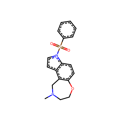 CN1CCOc2ccc3c(ccn3S(=O)(=O)c3ccccc3)c2C1